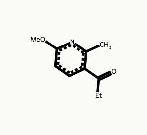 CCC(=O)c1ccc(OC)nc1C